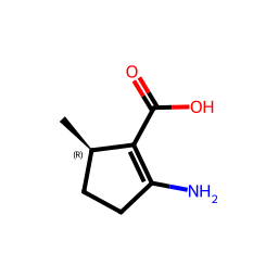 C[C@@H]1CCC(N)=C1C(=O)O